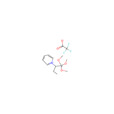 CCC([n+]1ccccc1)[Si](OC)(OC)OC.O=C([O-])C(F)(F)F